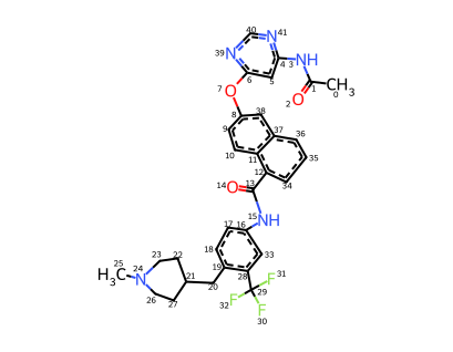 CC(=O)Nc1cc(Oc2ccc3c(C(=O)Nc4ccc(CC5CCN(C)CC5)c(C(F)(F)F)c4)cccc3c2)ncn1